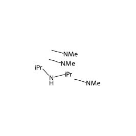 CC(C)NC(C)C.CNC.CNC.CNC